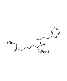 C=C(CCCCC(CCCCC)NC(=C)CCc1ccccc1)CC(C)(C)C